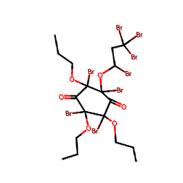 CCCOC1(Br)C(=O)C(Br)(OCCC)C(Br)(OC(Br)CC(Br)(Br)Br)C(=O)C1(Br)OCCC